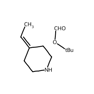 CC(C)(C)OC=O.CC=C1CCNCC1